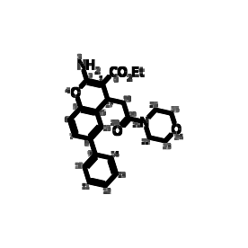 CCOC(=O)C1=C(N)Oc2ccc(-c3ccccc3)cc2C1CC(=O)N1CCOCC1